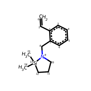 C=Cc1ccccc1CN1CCC[Si]1(C)C